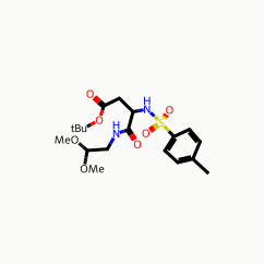 COC(CNC(=O)C(CC(=O)OC(C)(C)C)NS(=O)(=O)c1ccc(C)cc1)OC